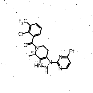 CCc1ccnc(N2NNC3=C2CCN(C(=O)c2cccc(C(F)(F)F)c2Cl)[C@@H]3C)n1